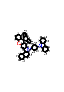 c1ccc2c(c1)Oc1cc3c4c5ccccc5ccc4n(-c4ccc(-n5c6ccccc6c6ccccc65)cc4)c3cc1C21c2ccccc2-c2ccccc21